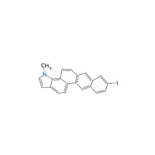 Cn1ccc2ccc3c4cc5ccc(I)cc5cc4ccc3c21